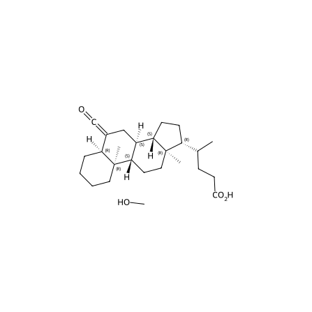 CC(CCC(=O)O)[C@H]1CC[C@H]2[C@@H]3CC(=C=O)[C@@H]4CCCC[C@]4(C)[C@H]3CC[C@]12C.CO